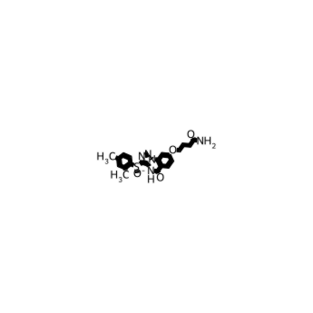 Cc1ccc([S+]([O-])c2nnn3c2[nH]c(=O)c2ccc(OCCCC(N)=O)cc23)c(C)c1